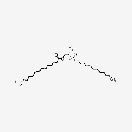 CCCCCCCCCCCCCC(=O)O[CH]C(C)OC(=O)CCCCCCCCCCCCC